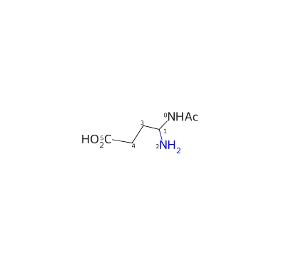 CC(=O)NC(N)CCC(=O)O